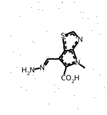 Cn1c(C(=O)O)c(/C=N/N)c2scnc21